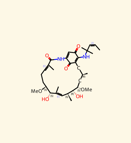 C/C=C\C(C)(C)NC1=C2C[C@@H](C)C[C@H](OC)[C@H](O)[C@@H](C)/C=C(\C)[C@H](O)[C@@H](OC)CC/C=C(\C)C(=O)NC(=CC1=O)C2=O